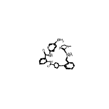 Bc1ccc(NC(=O)c2ccccc2NC(=O)c2ccc(-c3ccccc3CNC3=NCCN3C)cc2)nc1